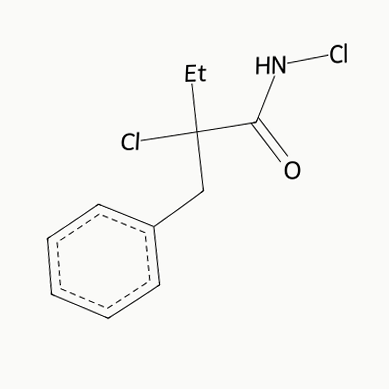 CCC(Cl)(Cc1ccccc1)C(=O)NCl